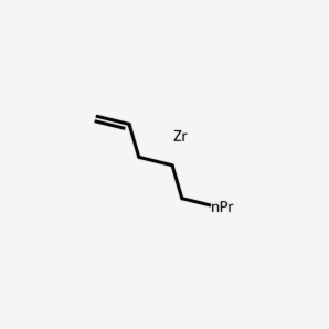 C=CCCCCCC.[Zr]